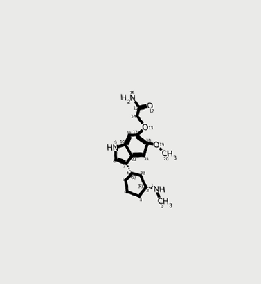 CN[C@@H]1CCC[C@H](c2c[nH]c3cc(OCC(N)=O)c(OC)cc23)C1